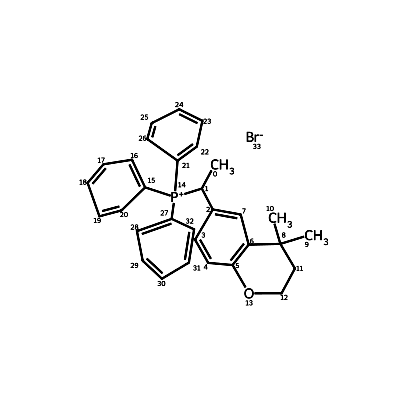 CC(c1ccc2c(c1)C(C)(C)CCO2)[P+](c1ccccc1)(c1ccccc1)c1ccccc1.[Br-]